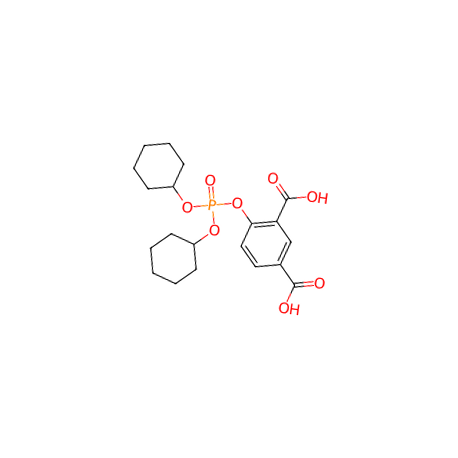 O=C(O)c1ccc(OP(=O)(OC2CCCCC2)OC2CCCCC2)c(C(=O)O)c1